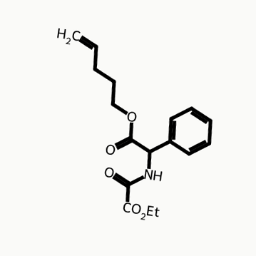 C=CCCCOC(=O)C(NC(=O)C(=O)OCC)c1ccccc1